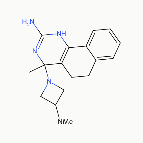 CNC1CN(C2(C)N=C(N)NC3=C2CCc2ccccc23)C1